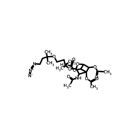 CC(=O)NC1C(OC(C)(C)CCOC(C)(C)CCN=[N+]=[N-])OC2C(OC(C)=O)C1(OC(C)=O)C2OC(C)=O